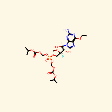 CCOc1nc(N)nc2c1ncn2[C@](C)(O)[C@H](O)[C@@](F)(COP(=O)(OCOC(=O)OC(C)C)OCOC(=O)OC(C)C)OC